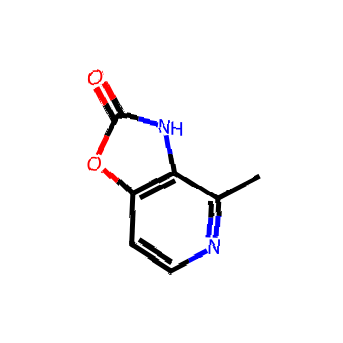 Cc1nccc2oc(=O)[nH]c12